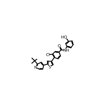 CC(C)(C)c1cc(-c2cc(-c3ccc(C(=O)Nc4cccc(O)c4)cc3Cl)cs2)ccn1